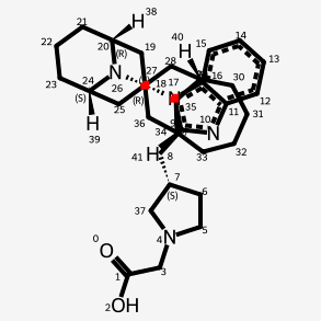 O=C(O)CN1CC[C@@H](Cc2nc3ccccc3n2[C@H]2C[C@H]3CCC[C@@H](C2)N3[C@@H]2C[C@@H]3CCCC[C@@H](C3)C2)C1